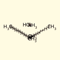 CCCCCCCCCCCCCCCCCC[N+](C)(C)CCCCCCCCCCCCCCCCCC.Cl.N